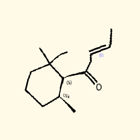 C/C=C/C(=O)[C@H]1[C@@H](C)CCCC1(C)C